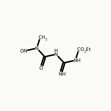 CCOC(=O)NC(=N)NC(=O)N(C)N=O